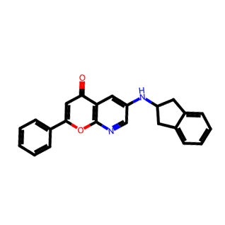 O=c1cc(-c2ccccc2)oc2ncc(NC3Cc4ccccc4C3)cc12